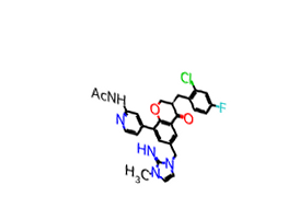 CC(=O)Nc1cc(-c2cc(Cn3ccn(C)c3=N)cc3c2OC[C@@H](Cc2ccc(F)cc2Cl)C3=O)ccn1